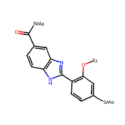 CCOc1cc(SC)ccc1-c1nc2cc(C(=O)NC)ccc2[nH]1